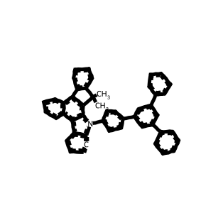 CC1(C)c2ccccc2-c2c1c1c(c3ccccc23)c2ccccc2n1-c1ccc(-c2cc(-c3ccccc3)cc(-c3ccccc3)c2)cc1